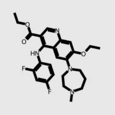 CCOC(=O)c1cnc2cc(OCC)c(N3CCCN(C)CC3)cc2c1Nc1ccc(F)cc1F